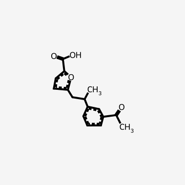 CC(=O)c1cccc(C(C)Cc2ccc(C(=O)O)o2)c1